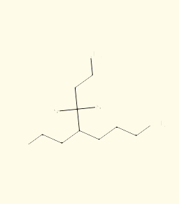 CCCCC(CCC)C(N)(N)CCC